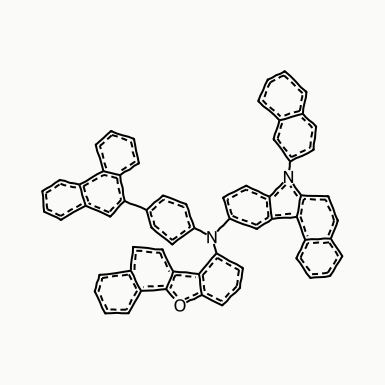 c1ccc2cc(-n3c4ccc(N(c5ccc(-c6cc7ccccc7c7ccccc67)cc5)c5cccc6oc7c8ccccc8ccc7c56)cc4c4c5ccccc5ccc43)ccc2c1